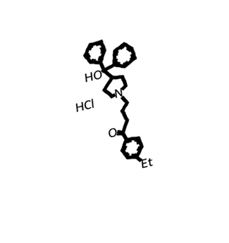 CCc1ccc(C(=O)CCCN2CCC(C(O)(c3ccccc3)c3ccccc3)CC2)cc1.Cl